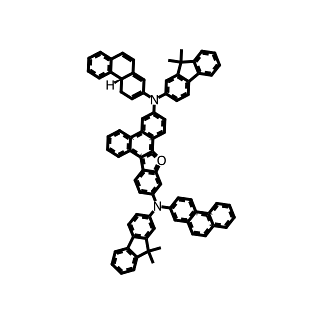 CC1(C)c2ccccc2-c2ccc(N(C3=CC[C@H]4C(=C3)C=Cc3ccccc34)c3ccc4c(c3)c3ccccc3c3c5ccc(N(c6ccc7c(c6)C(C)(C)c6ccccc6-7)c6ccc7c(ccc8ccccc87)c6)cc5oc43)cc21